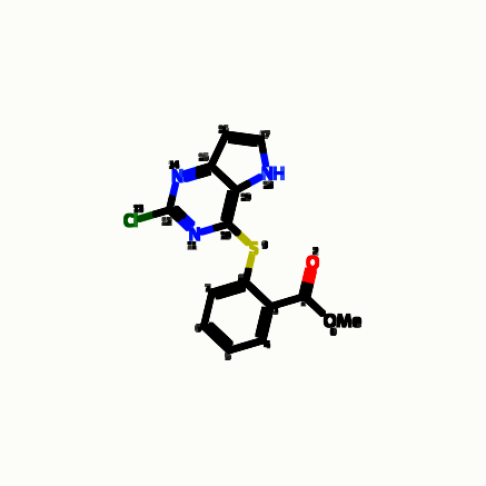 COC(=O)c1ccccc1Sc1nc(Cl)nc2cc[nH]c12